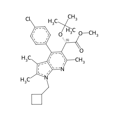 COC(=O)[C@@H](OC(C)(C)C)c1c(C)nc2c(c(C)c(C)n2CC2CCC2)c1-c1ccc(Cl)cc1